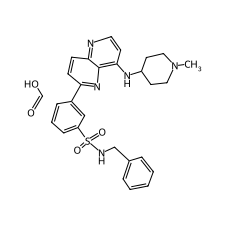 CN1CCC(Nc2ccnc3ccc(-c4cccc(S(=O)(=O)NCc5ccccc5)c4)nc23)CC1.O=CO